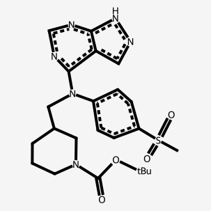 CC(C)(C)OC(=O)N1CCCC(CN(c2ccc(S(C)(=O)=O)cc2)c2ncnc3[nH]ncc23)C1